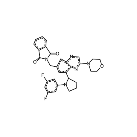 O=C1c2ccccc2C(=O)N1Cc1cc(C2CCCN2c2cc(F)cc(F)c2)c2nc(N3CCOCC3)cnc2c1